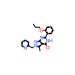 CCCOc1ccccc1-c1nc2nn(Cc3ccccn3)c(C)c2c(=O)[nH]1